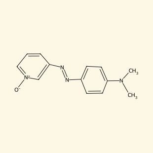 CN(C)c1ccc(N=Nc2ccc[n+]([O-])c2)cc1